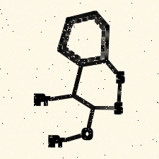 CC(C)OC1SSc2ccccc2C1C(C)C